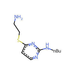 CCCCNc1nccc(SCCN)n1